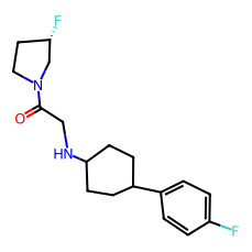 O=C(CNC1CCC(c2ccc(F)cc2)CC1)N1CC[C@H](F)C1